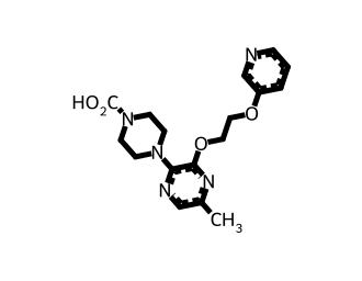 Cc1cnc(N2CCN(C(=O)O)CC2)c(OCCOc2cccnc2)n1